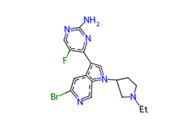 CCN1CCC(n2cc(-c3nc(N)ncc3F)c3cc(Br)ncc32)C1